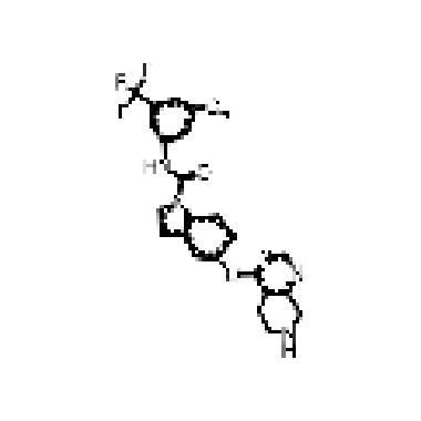 COc1cc(NC(=O)n2ccc3cc(Oc4ncnc5c4CCNC5)ccc32)cc(C(F)(F)F)c1